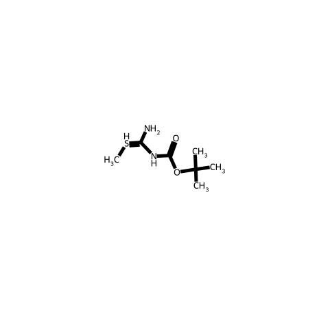 C[SH]=C(N)NC(=O)OC(C)(C)C